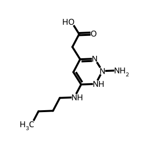 CCCCNC1=CC(CC(=O)O)=NN(N)N1